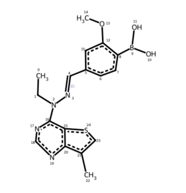 CCN(/N=C/c1ccc(B(O)O)c(OC)c1)c1ncnc2c(C)csc12